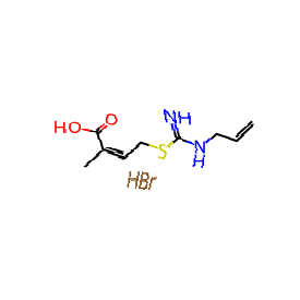 Br.C=CCNC(=N)SC/C=C(/C)C(=O)O